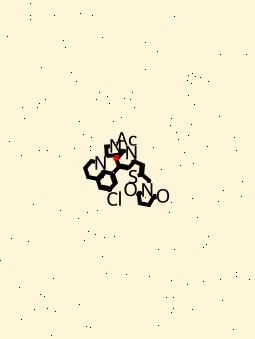 CC(=O)N1CC(N2CCCc3cc(Cl)cc(-c4ccnc5cc(CN6C(=O)CCC6=O)sc45)c32)C1